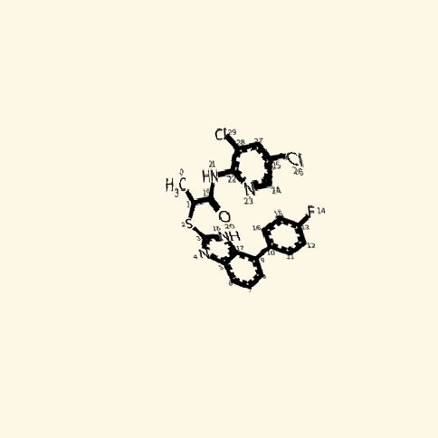 CC(Sc1nc2cccc(-c3ccc(F)cc3)c2[nH]1)C(=O)Nc1ncc(Cl)cc1Cl